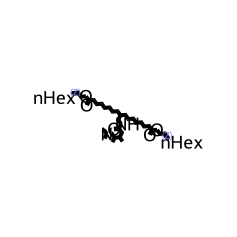 CCCCCC/C=C\COC(=O)CCCCCCCC(CCCCCCCC(=O)OC/C=C\CCCCCC)CNC(=O)CC(C)C(C)CN(C)C